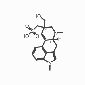 CN1C[C@@](CO)(CS(=O)(=O)O)C=C2c3cccc4c3c(cn4C)C[C@H]21